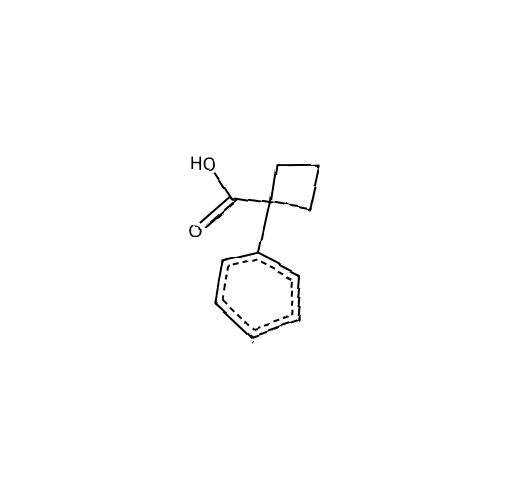 O=C(O)C1(c2cc[c]cc2)CCC1